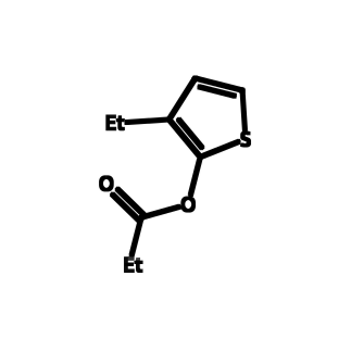 CCC(=O)Oc1sccc1CC